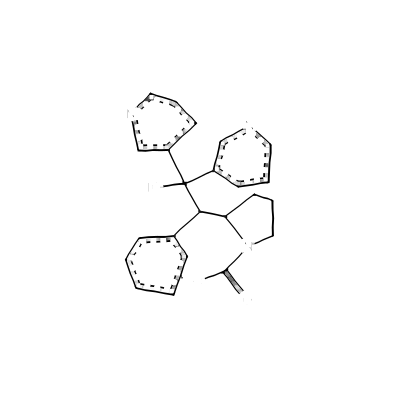 O=C(O)N1CCCC1C(c1ccccc1)C(O)(c1cccnc1)c1cccnc1